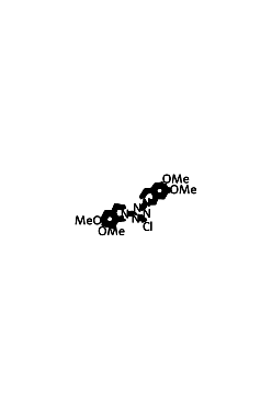 COc1cc2c(cc1OC)CN(c1nc(Cl)nc(N3CCc4cc(OC)c(OC)cc4C3)n1)CC2